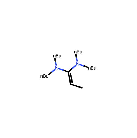 CC=C(N(CCCC)CCCC)N(CCCC)CCCC